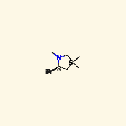 CC(C)[C@@H]1C[Si](C)(C)CN1C